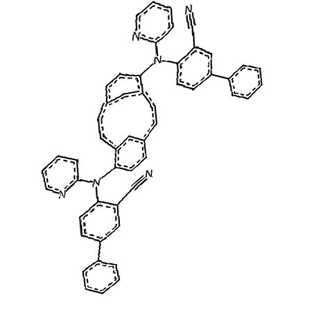 N#Cc1cc(-c2ccccc2)ccc1N(c1ccccn1)c1ccc2ccc3cc(ccc3N(c3ccccn3)c3ccc(-c4ccccc4)cc3C#N)ccc1c2